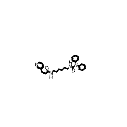 O=C(/C=C\c1cccnc1)NCCCCCCNC(=O)N(c1ccccc1)c1ccccc1